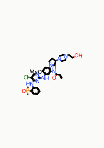 C=CC(=O)Nc1cc(Nc2ncc(Cl)c(Nc3ccccc3P(C)(C)=O)n2)c(OC)cc1N1CCC(N2CCN(CCO)CC2)C1